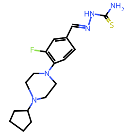 NC(=S)N/N=C/c1ccc(N2CCN(C3CCCC3)CC2)c(F)c1